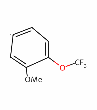 COc1c[c]ccc1OC(F)(F)F